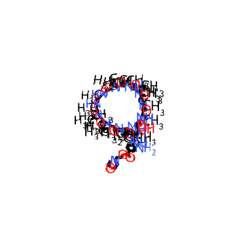 C=C(C[C@@H](C)[C@@H](O)[C@@H]1NC(=O)[C@H](C(C)C)N(C)C(=O)[C@H](CC(C)C)N(C)C(=O)[C@H](CC(C)C)N(C)C(=O)[C@@H](C)NC(=O)[C@H](C)NC(=O)[C@H](CC(C)C)N(C)C(=O)[C@H](C(C)C)NC(=O)[C@H](CC(C)C)N(C)C(=O)CN(C)C(=O)[C@H](CC)NC1=O)Nc1ccc(C(=O)OCCN2CCOCC2)cc1N